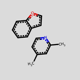 Cc1ccnc(C)c1.c1ccc2occc2c1